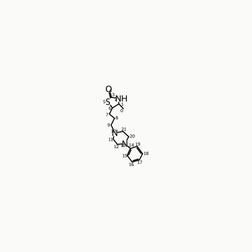 CC1NC(=O)SC1CCCN1CCN(c2ccccc2)CC1